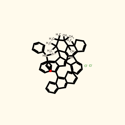 CCCC1=Cc2c(-c3c4ccccc4cc4ccccc34)cccc2C1[C]1([Zr+2][SiH](c2ccccc2)c2ccccc2)C2=C3Cc4ccccc4C3=C3C=CCCC3(C)C2(C)C(C)(C)C(C)(C)C1(C)C.[Cl-].[Cl-]